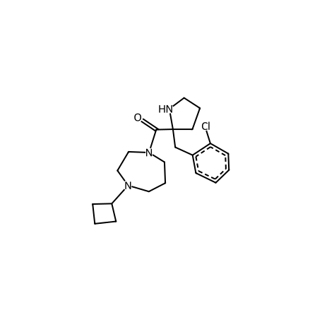 O=C(N1CCCN(C2CCC2)CC1)C1(Cc2ccccc2Cl)CCCN1